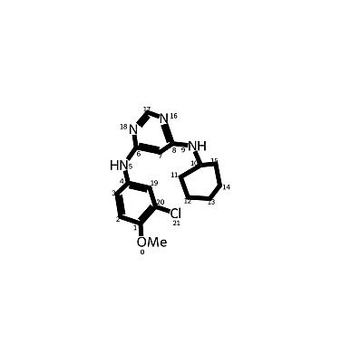 COc1ccc(Nc2cc(NC3CCCCC3)ncn2)cc1Cl